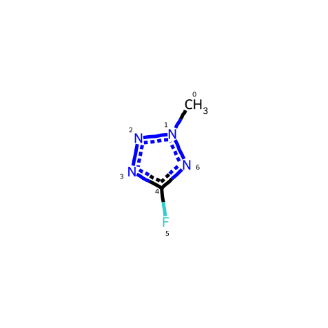 Cn1nnc(F)n1